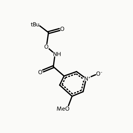 COc1cc(C(=O)NOC(=O)C(C)(C)C)c[n+]([O-])c1